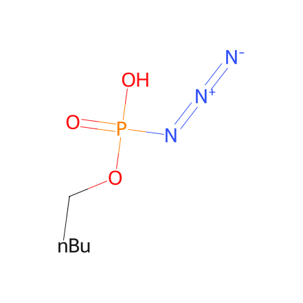 CCCCCOP(=O)(O)N=[N+]=[N-]